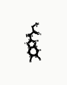 CC(=O)CC(=O)Nc1nc2cc(C)c(C)cc2s1